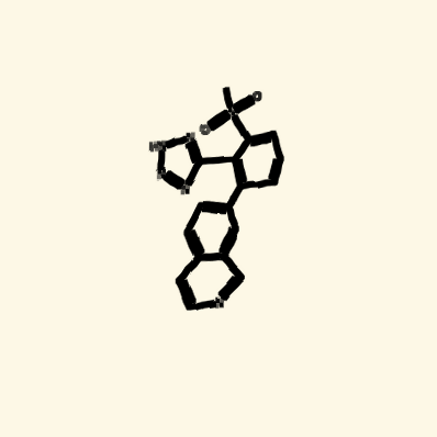 CS(=O)(=O)c1cccc(-c2ccc3ccncc3c2)c1-c1nn[nH]n1